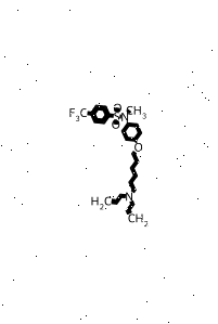 C=CCN(CC=C)CCCCCCO[C@H]1CC[C@H](N(C)S(=O)(=O)c2ccc(C(F)(F)F)cc2)CC1